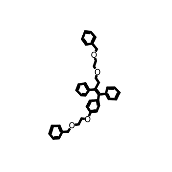 c1ccc(COCCOCC/C(=C(\c2ccccc2)c2ccc(OCCOCc3ccccc3)cc2)c2ccccc2)cc1